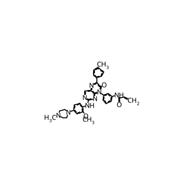 C=CC(=O)Nc1cccc(-n2c(=O)c(-c3ccc(C)cc3)nc3cnc(Nc4ccc(N5CCN(C)CC5)cc4OC)nc32)c1